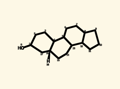 OC1CCC2C3CCC4CCCC4C3CC[C@@H]2C1